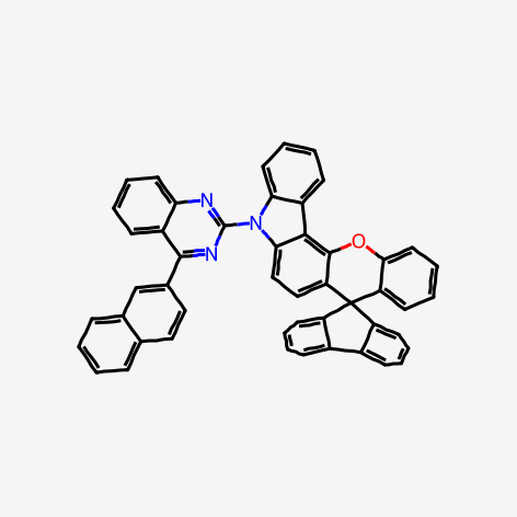 c1ccc2c(c1)Oc1c(ccc3c1c1ccccc1n3-c1nc(-c3ccc4ccccc4c3)c3ccccc3n1)C21c2ccccc2-c2ccccc21